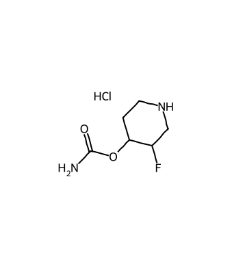 Cl.NC(=O)OC1CCNCC1F